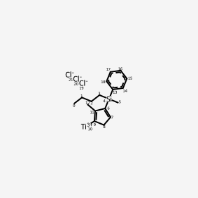 CCCC[Si](C)(C1=CC[C]([Ti+3])=C1C)c1ccccc1.[Cl-].[Cl-].[Cl-]